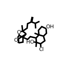 C=C(CCC1(C)OC2OC3CC1C2(CCC1C(C)(O)C(Cl)CC2CC(O)CCC21C)C3)C(C)C